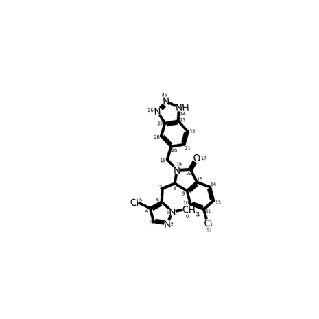 Cn1ncc(Cl)c1CC1c2cc(Cl)ccc2C(=O)N1Cc1ccc2[nH]nnc2c1